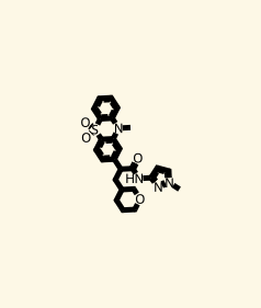 CN1c2ccccc2S(=O)(=O)c2ccc(C(CC3CCCOC3)C(=O)Nc3ccn(C)n3)cc21